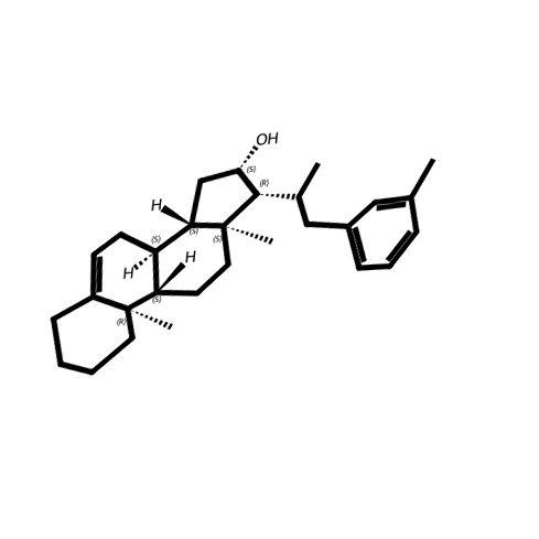 Cc1cccc(CC(C)[C@H]2[C@@H](O)C[C@H]3[C@@H]4CC=C5CCCC[C@]5(C)[C@H]4CC[C@@]32C)c1